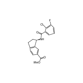 COC(=O)c1ccc2c(c1)[C@H](NC(=O)c1cccc(F)c1Cl)CC2